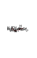 C=C(/C=C(/C)C(=C)C)CC(=C)Nc1nnc(CCCCc2ccc(NC(=O)C/C(C)=C/C)nn2)s1